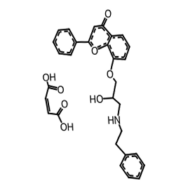 O=C(O)/C=C\C(=O)O.O=c1cc(-c2ccccc2)oc2c(OCC(O)CNCCc3ccccc3)cccc12